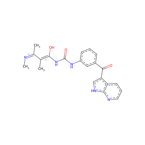 C/N=C(C)\C(C)=C(/O)NC(=O)Nc1cccc(C(=O)c2c[nH]c3ncccc23)c1